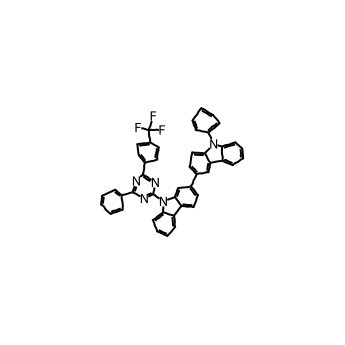 FC(F)(F)c1ccc(-c2nc(-c3ccccc3)nc(-n3c4ccccc4c4ccc(-c5ccc6c(c5)c5ccccc5n6-c5ccccc5)cc43)n2)cc1